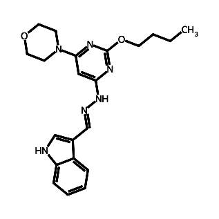 CCCCOc1nc(NN=Cc2c[nH]c3ccccc23)cc(N2CCOCC2)n1